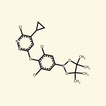 CC1(C)OB(c2cc(Cl)c(Oc3cc(C4CC4)c(Cl)nn3)c(Cl)c2)OC1(C)C